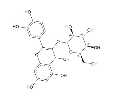 OC[C@H]1OC(OC2=C(c3ccc(O)c(O)c3)Oc3cc(O)cc(O)c3C2O)[C@@H](O)[C@H](O)[C@H]1O